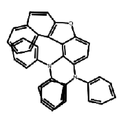 c1ccc(N(c2ccccc2)c2ccc3oc4ccc5ccccc5c4c3c2N(c2ccccc2)c2ccccc2)cc1